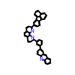 c1cc(-c2ccc3nc4ccccc4cc3c2)cc(-c2ccc3ccc4ccc(-c5ccc6c(c5)-c5cccc7cccc-6c57)nc4c3n2)c1